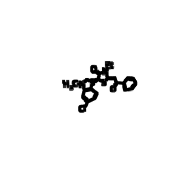 CCN1C(=O)C(=S2CN(C)c3cc(Cl)ccc32)SC1=CC(=O)c1ccccc1